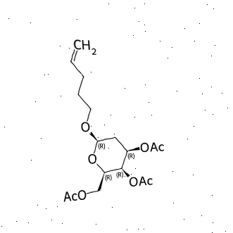 C=CCCCO[C@H]1C[C@@H](OC(C)=O)[C@@H](OC(C)=O)[C@@H](COC(C)=O)O1